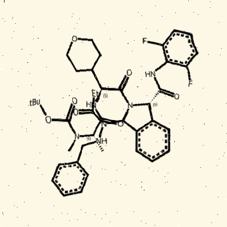 CCC(=O)N(NCc1ccccc1)C1c2ccccc2[C@@H](C(=O)Nc2c(F)cccc2F)N1C(=O)[C@@H](NC(=O)[C@H](C)N(C)C(=O)OC(C)(C)C)C1CCOCC1